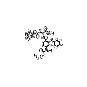 CCC(=O)Nc1ccc(OC/C(=C\C(=O)OC2CN3CCC2CC3)C(=O)O)c(Cc2ccccc2)c1